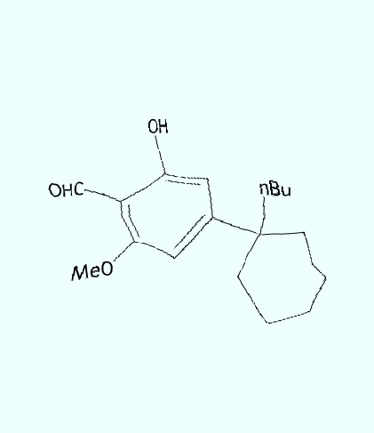 CCCCC1(c2cc(O)c(C=O)c(OC)c2)CCCCC1